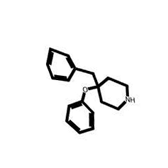 c1ccc(CC2(Oc3ccccc3)CCNCC2)cc1